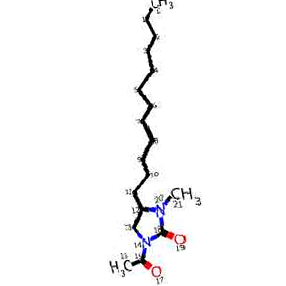 CCCCCCCCCCCCC1CN(C(C)=O)C(=O)N1C